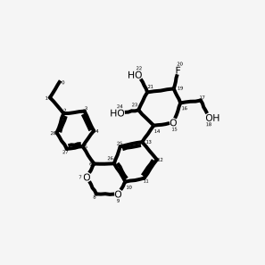 CCc1ccc(C2OCOc3ccc(C4OC(CO)C(F)C(O)C4O)cc32)cc1